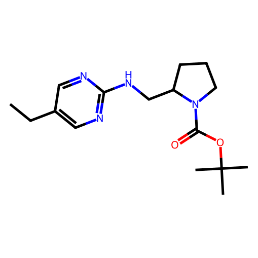 CCc1cnc(NCC2CCCN2C(=O)OC(C)(C)C)nc1